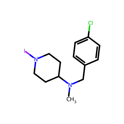 CN(Cc1ccc(Cl)cc1)C1CCN(I)CC1